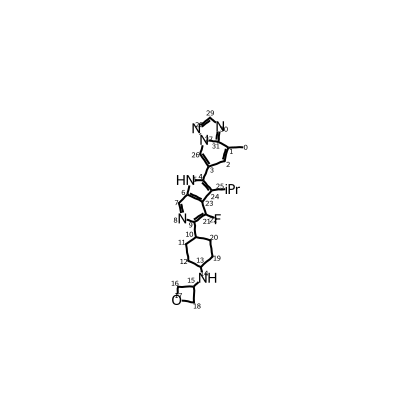 Cc1cc(-c2[nH]c3cnc(C4CCC(NC5COC5)CC4)c(F)c3c2C(C)C)cn2ncnc12